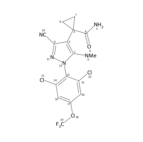 CNc1c(C2(C(N)=O)CC2)c(C#N)nn1-c1c(Cl)cc(OC(F)(F)F)cc1Cl